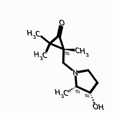 C[C@H]1[C@@H](O)CCN1C[C@@]1(C)C(=O)C1(C)C